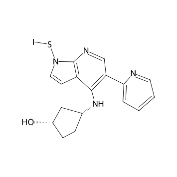 O[C@H]1CC[C@@H](Nc2c(-c3ccccn3)cnc3c2ccn3SI)C1